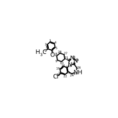 Cc1ccccc1O[C@H]1CC[C@H](c2nnc3n2-c2ccc(Cl)cc2CNC3)CC1